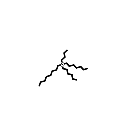 CCCCCCCCS(CCCC)(CCCCCC)CCCCCCC